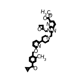 COC(=O)c1ccc2nc(CN3CCC(c4cccc(OCc5ccc(C(=O)C6CC6)cc5C)n4)CC3)n(C[C@@H]3CCO3)c2n1